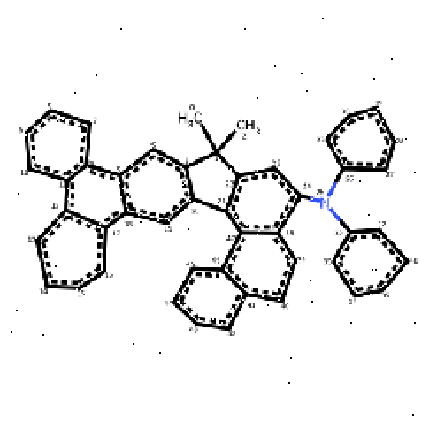 CC1(C)c2cc3c4ccccc4c4ccccc4c3cc2-c2c1cc(N(c1ccccc1)c1ccccc1)c1ccc3ccccc3c21